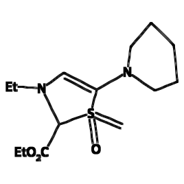 C=S1(=O)C(N2CCCCC2)=CN(CC)C1C(=O)OCC